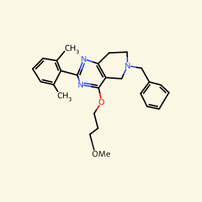 COCCCOc1nc(-c2c(C)cccc2C)nc2c1CN(Cc1ccccc1)CC2